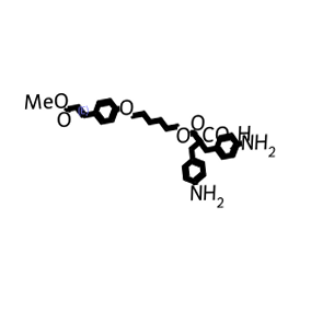 COC(=O)/C=C/c1ccc(OCCCCCCOC(=O)C(Cc2ccc(N)cc2)(Cc2ccc(N)cc2)C(=O)O)cc1